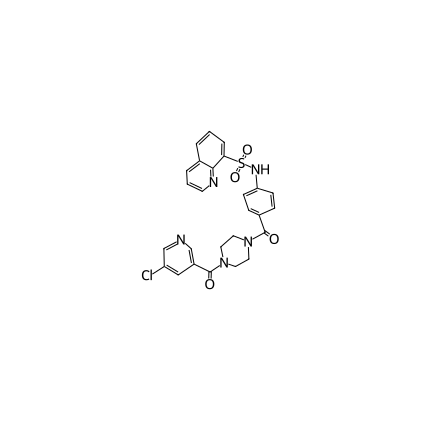 O=C(c1ccc(NS(=O)(=O)c2cccc3cccnc23)cc1)N1CCN(C(=O)c2cncc(Cl)c2)CC1